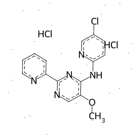 COc1cnc(-c2ccccn2)nc1Nc1ccc(Cl)cn1.Cl.Cl